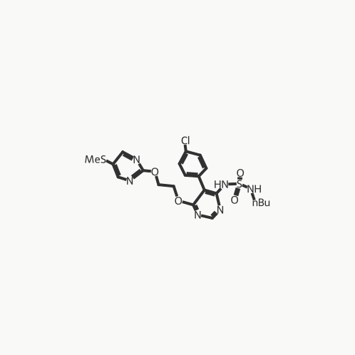 CCCCNS(=O)(=O)Nc1ncnc(OCCOc2ncc(SC)cn2)c1-c1ccc(Cl)cc1